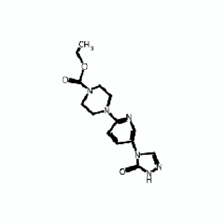 CCOC(=O)N1CCN(c2ccc(-n3cn[nH]c3=O)cn2)CC1